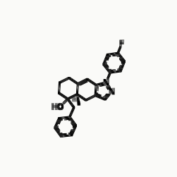 C[C@]12Cc3cnn(-c4ccc(F)cc4)c3C=C1CCCC2(O)Cc1ccccc1